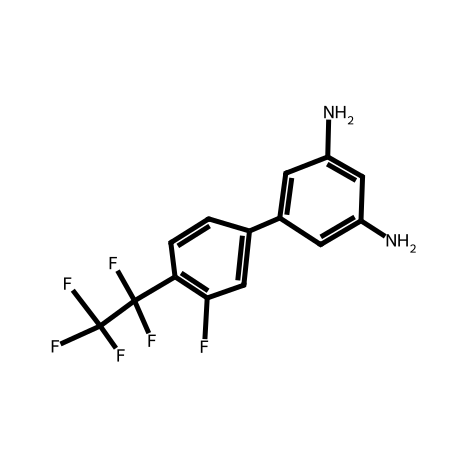 Nc1cc(N)cc(-c2ccc(C(F)(F)C(F)(F)F)c(F)c2)c1